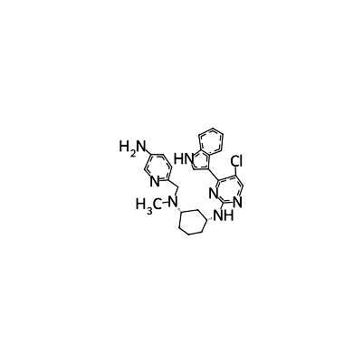 CN(Cc1ccc(N)cn1)[C@H]1CCC[C@@H](Nc2ncc(Cl)c(-c3c[nH]c4ccccc34)n2)C1